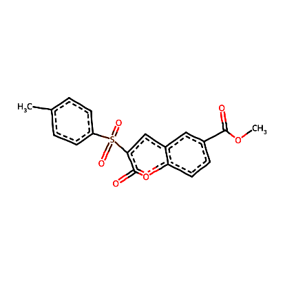 COC(=O)c1ccc2oc(=O)c(S(=O)(=O)c3ccc(C)cc3)cc2c1